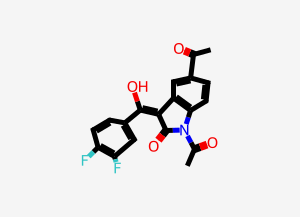 CC(=O)c1ccc2c(c1)C(=C(O)c1ccc(F)c(F)c1)C(=O)N2C(C)=O